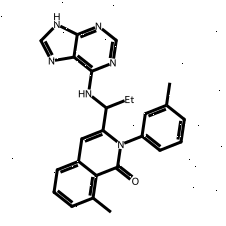 CCC(Nc1ncnc2[nH]cnc12)c1cc2cccc(C)c2c(=O)n1-c1cccc(C)c1